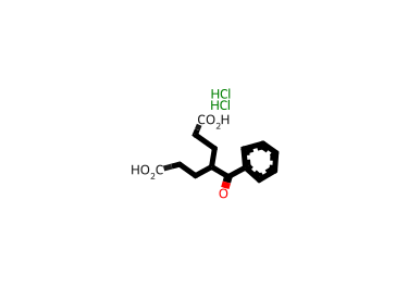 Cl.Cl.O=C(O)CCC(CCC(=O)O)C(=O)c1ccccc1